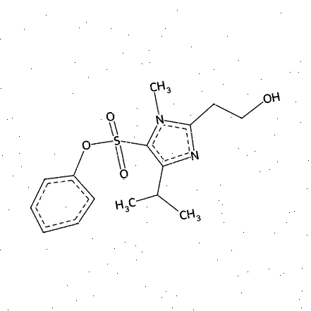 CC(C)c1nc(CCO)n(C)c1S(=O)(=O)Oc1ccccc1